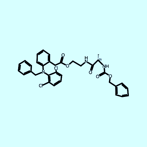 C[C@H](NC(=O)OCc1ccccc1)C(=O)NCCOC(=O)Cc1ccccc1N(Cc1ccccc1)c1c(Cl)cccc1Cl